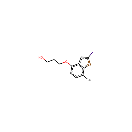 N#Cc1ccc(OCCCO)c2cc(I)sc12